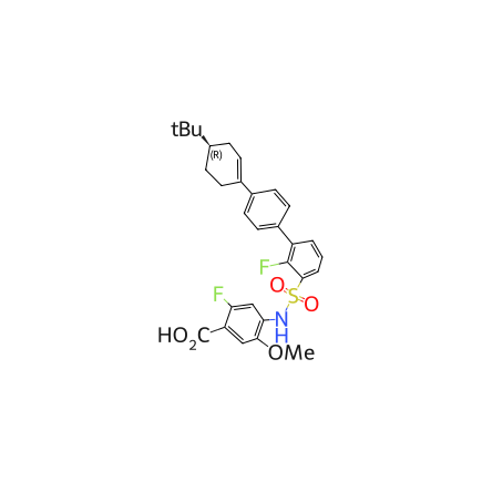 COc1cc(C(=O)O)c(F)cc1NS(=O)(=O)c1cccc(-c2ccc(C3=CC[C@H](C(C)(C)C)CC3)cc2)c1F